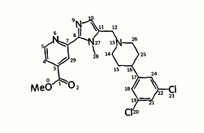 COC(=O)c1ccnc(-c2ncc(CN3CCC(c4cc(Cl)cc(Cl)c4)CC3)n2C)c1